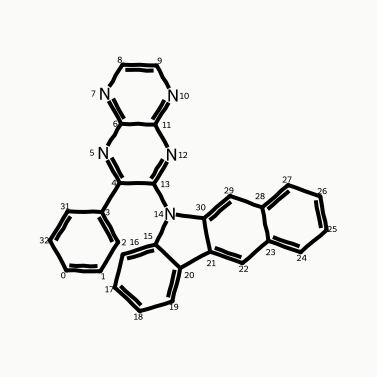 c1ccc(-c2nc3nccnc3nc2-n2c3ccccc3c3cc4ccccc4cc32)cc1